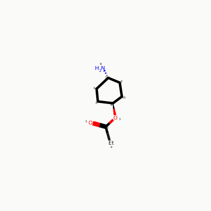 CCC(=O)O[C@H]1CC[C@H](N)CC1